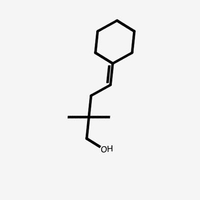 CC(C)(CO)CC=C1CCCCC1